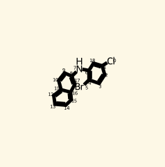 Clc1ccc(Br)c(Nc2ccc3ccccc3c2)c1